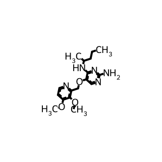 CCCC(C)Nc1nc(N)ncc1OCc1nccc(OC)c1OC